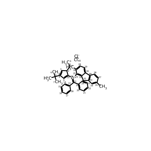 CCC1C=C(C(C)(C)C)C=[C]1[Zr+2](=[C](c1ccccc1)c1ccccc1)[c]1c(C)ccc2c1Cc1cc(C)ccc1-2.[Cl-].[Cl-]